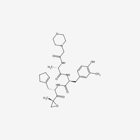 Cc1cc(C[C@H](NC(=O)[C@H](C)NC(=O)CN2CCOCC2)C(=O)N[C@@H](CC2=CCCC2)C(=O)[C@@]2(C)CO2)ccc1O